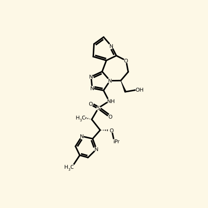 Cc1cnc([C@@H](OC(C)C)[C@H](C)S(=O)(=O)Nc2nnc3n2[C@H](CO)COc2ncccc2-3)nc1